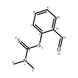 CN(C)C(=S)Sc1ccccc1C=O